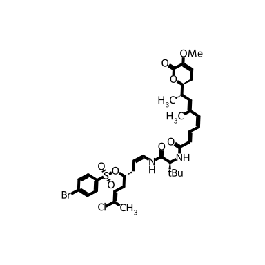 COC1=CC[C@@H]([C@@H](C)/C=C(C)/C=C\C=C\C(=O)N[C@H](C(=O)N/C=C\C[C@H](C/C=C(\C)Cl)OS(=O)(=O)c2ccc(Br)cc2)C(C)(C)C)OC1=O